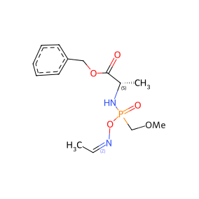 C/C=N\OP(=O)(COC)N[C@@H](C)C(=O)OCc1ccccc1